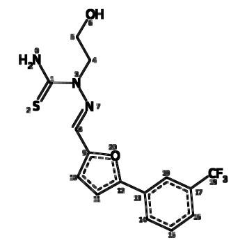 NC(=S)N(CCO)N=Cc1ccc(-c2cccc(C(F)(F)F)c2)o1